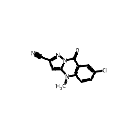 Cn1c2ccc(Cl)cc2c(=O)n2nc(C#N)cc12